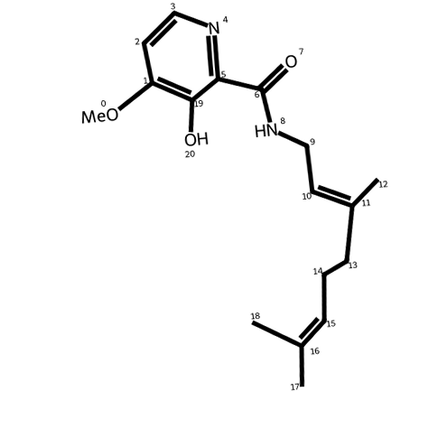 COc1ccnc(C(=O)NC/C=C(\C)CCC=C(C)C)c1O